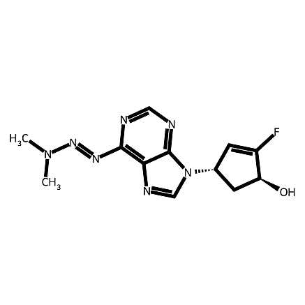 CN(C)/N=N/c1ncnc2c1ncn2[C@@H]1C=C(F)[C@@H](O)C1